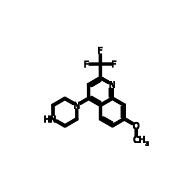 COc1ccc2c(N3CCNCC3)cc(C(F)(F)F)nc2c1